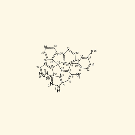 Nc1n[nH]c2cc(Br)c(Cc3cccc(F)c3)c(C(c3ccccc3)(c3ccccc3)c3ccccc3)c12